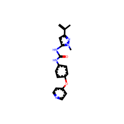 C=C(C)c1cc(NC(=O)Nc2ccc(Oc3ccncc3)cc2)n(C)n1